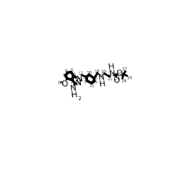 COc1cccc2c1c(N)nn2Cc1cccc(CNCCNC(=O)OC(C)(C)C)c1